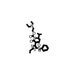 CCc1nc(-c2ccc(C(C)C)n(C(=O)OCCN(CC)CC)c2=O)c(S(=O)(=O)c2ccccc2)s1